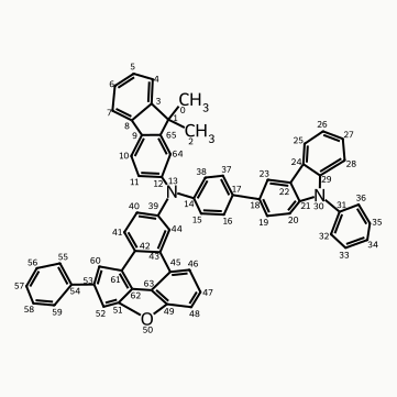 CC1(C)c2ccccc2-c2ccc(N(c3ccc(-c4ccc5c(c4)c4ccccc4n5-c4ccccc4)cc3)c3ccc4c(c3)c3cccc5oc6cc(-c7ccccc7)cc4c6c53)cc21